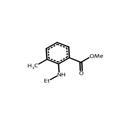 CCNc1c(C)cccc1C(=O)OC